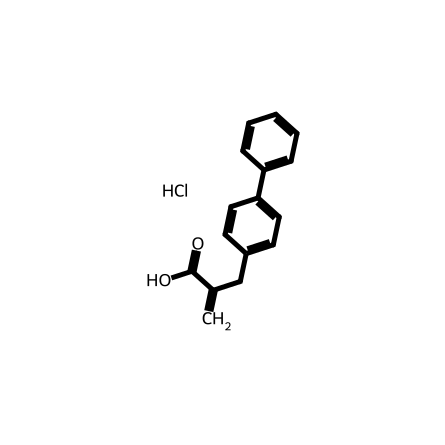 C=C(Cc1ccc(-c2ccccc2)cc1)C(=O)O.Cl